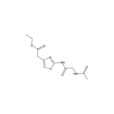 CCOC(=O)Cc1csc(NC(=O)CNC(C)=O)n1